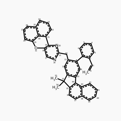 C=Cc1ccccc1-c1cc2c(cc1Cc1ncc3c(n1)-c1cccc4cccc(c14)O3)C(C)(C)c1ccc3ccccc3c1-2